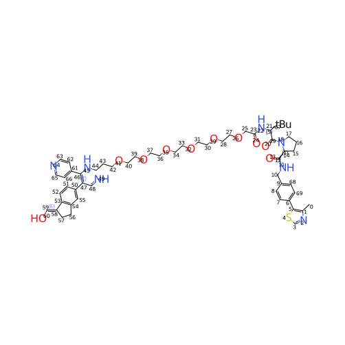 Cc1ncsc1-c1ccc(CNC(=O)[C@@H]2CCCN2C(=O)[C@@H](NC(=O)COCCOCCOCCOCCOCCOCCCN/C(=C(\C=N)c2ccc3c(c2)CC/C3=C\O)c2ccncc2)C(C)(C)C)cc1